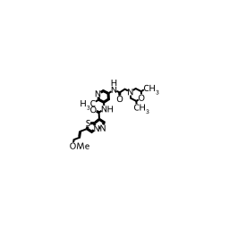 COC/C=C/c1cn2ncc(C(=O)Nc3cc(NC(=O)CN4CC(C)OC(C)C4)cnc3C)c2s1